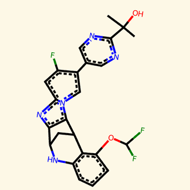 CC(C)(O)c1ncc(-c2cn3c4c(nc3cc2F)C2CC4c3c(cccc3OC(F)F)N2)cn1